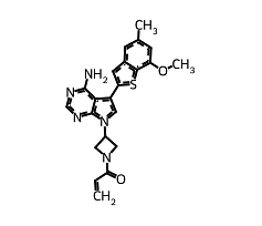 C=CC(=O)N1CC(n2cc(-c3cc4cc(C)cc(OC)c4s3)c3c(N)ncnc32)C1